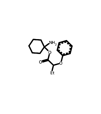 CCC(Oc1ccccc1)C(=O)OC1(N)CCCCC1